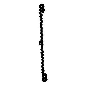 c1ccc2cc(CCCCCCCCCCCCCCCCCCOCCCCCCCCCCCCCCCCCCc3ccc4ccccc4c3)ccc2c1